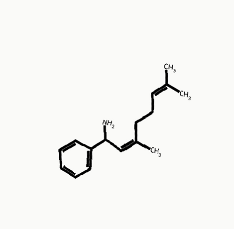 CC(C)=CCCC(C)=CC(N)c1ccccc1